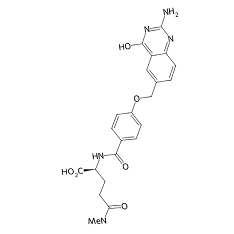 CNC(=O)CC[C@H](NC(=O)c1ccc(OCc2ccc3nc(N)nc(O)c3c2)cc1)C(=O)O